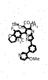 COc1ccncc1-c1cccc(-c2cc3nc(C)c([C@H](OC(C)(C)C)C(=O)O)c(-c4cc(F)c5c(c4C)CCCO5)n3n2)c1